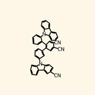 N#Cc1ccc2c(c1)c1ccccc1n2-c1cccc(-c2cc(C#N)c(C#N)cc2-c2ccccc2-n2c3ccccc3c3ccccc32)c1